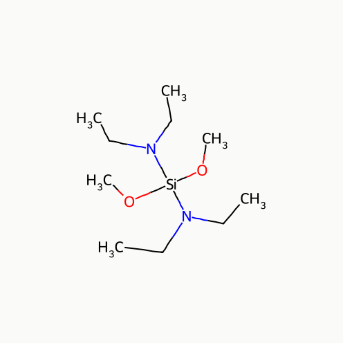 CCN(CC)[Si](OC)(OC)N(CC)CC